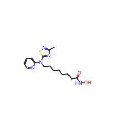 Cc1nsc(N(CCCCCCCC(=O)NO)c2ccccn2)n1